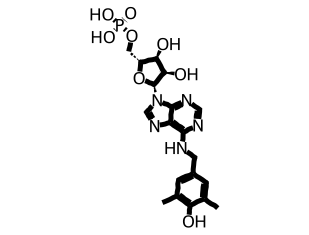 Cc1cc(CNc2ncnc3c2ncn3[C@@H]2O[C@H](COP(=O)(O)O)[C@@H](O)[C@H]2O)cc(C)c1O